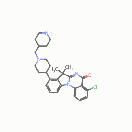 CC1(C)c2c(C3CCN(CC4CCNCC4)CC3)cccc2-n2c1nc(=O)c1c(Cl)cccc12